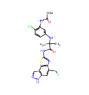 CNC(=O)Nc1cc(NC(C)(C)C(=O)Nc2nc3c(CF)cc4[nH]ncc4c3s2)ccc1Cl